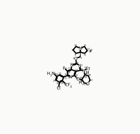 CCN1c2nc(OC[C@@]34CCCN3C[C@H](F)C4)nc3c(F)c(-c4cc(N)cc(Cl)c4C(F)(F)F)nc(c23)O[C@H]2COCC[C@@H]21